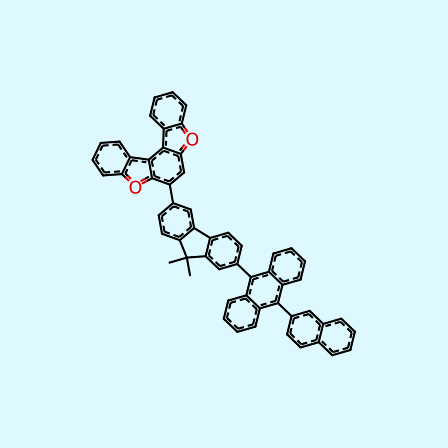 CC1(C)c2ccc(-c3cc4oc5ccccc5c4c4c3oc3ccccc34)cc2-c2ccc(-c3c4ccccc4c(-c4ccc5ccccc5c4)c4ccccc34)cc21